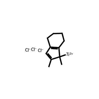 CC1=CC2=C(CCCC2)[C]1(C)[Ti+3].[Cl-].[Cl-].[Cl-]